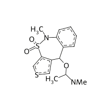 CNC(C)OC1c2ccccc2N(C)S(=O)(=O)c2cscc21